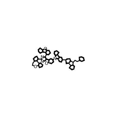 c1ccc(CCC2c3ccccc3-c3cc(-c4ccc5c(c4)c4ccccc4n5-c4ccc5oc6nc(-c7cccc8c7-c7ccccc7OCC8)nc(-c7cccc8oc9ccccc9c78)c6c5c4)ccc32)cc1